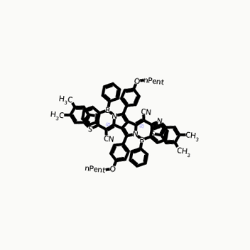 CCCCCOc1ccc(-c2c3/c(=C(\C#N)c4nc5cc(C)c(C)cc5s4)n(B(c4ccccc4)c4ccccc4)c(-c4ccc(OCCCCC)cc4)c3/c(=C(\C#N)c3nc4cc(C)c(C)cc4s3)n2B(c2ccccc2)c2ccccc2)cc1